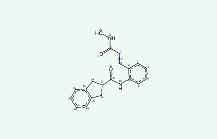 O=C(/C=C/c1ccccc1NC(=O)C1Cc2ccccc2C1)NO